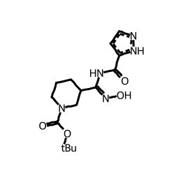 CC(C)(C)OC(=O)N1CCCC(C(=NO)NC(=O)c2ccn[nH]2)C1